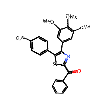 COc1cc(-c2nc(C(=O)c3ccccc3)[se]c2-c2ccc([N+](=O)[O-])cc2)cc(OC)c1OC